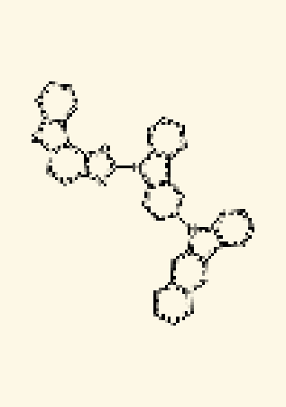 c1ccc2cc3c(cc2c1)c1ccccc1n3-c1ccc2c(c1)c1ccccc1n2-c1nc2ccc3sc4ccccc4c3c2o1